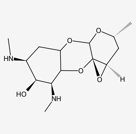 CN[C@H]1CC2OC3O[C@H](C)C[C@H]4O[C@@]34OC2[C@@H](NC)[C@H]1O